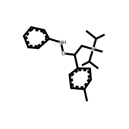 Cc1ccc(C(C[N+](C)(C(C)C)C(C)C)ONc2ccccc2)cc1